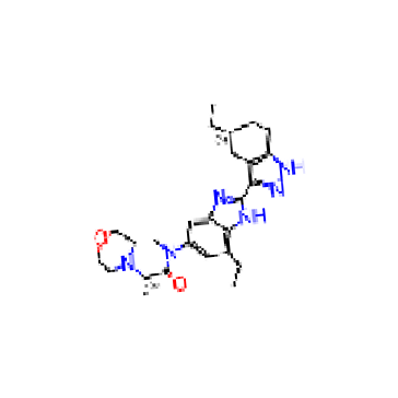 CCc1cc(N(C)C(=O)[C@H](C)N2CCOCC2)cc2nc(-c3n[nH]c4c3C[C@@H](CC)CC4)[nH]c12